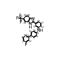 Fc1ccnc(-c2ccc(Nc3cccc(-c4nc5ccc(C(F)(F)F)cc5[nH]4)c3)cc2)c1